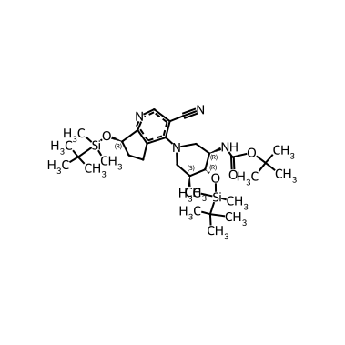 C[C@H]1CN(c2c(C#N)cnc3c2CC[C@H]3O[Si](C)(C)C(C)(C)C)C[C@@H](NC(=O)OC(C)(C)C)[C@@H]1O[Si](C)(C)C(C)(C)C